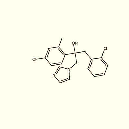 Cc1cc(Cl)ccc1C(O)(Cc1ccccc1Cl)Cn1ccnc1